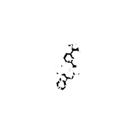 CCCOc1ccc(-c2c(C)noc2C)cc1C(=O)N[C@@H](CO)Cc1cn(C)c2ccccc12